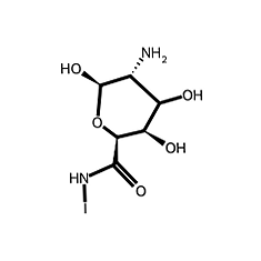 N[C@@H]1C(O)[C@@H](O)[C@@H](C(=O)NI)O[C@H]1O